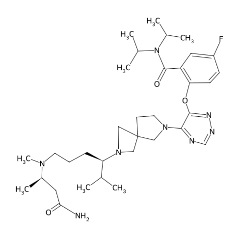 CC(C)[C@@H](CCCN(C)[C@H](C)CC(N)=O)N1CC2(CCN(c3ncnnc3Oc3ccc(F)cc3C(=O)N(C(C)C)C(C)C)C2)C1